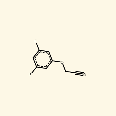 N#CCOc1cc(F)[c]c(F)c1